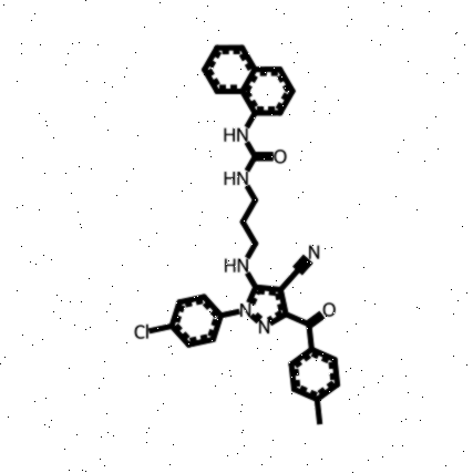 Cc1ccc(C(=O)c2nn(-c3ccc(Cl)cc3)c(NCCCNC(=O)Nc3cccc4ccccc34)c2C#N)cc1